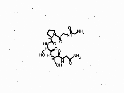 NCC(=O)NCC(=O)N1CCC[C@H]1C(=O)N[C@@H](CO)C(=O)N[C@@H](CO)C(=O)NCC(N)=O